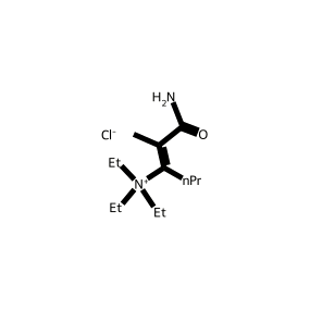 CCCC(=C(C)C(N)=O)[N+](CC)(CC)CC.[Cl-]